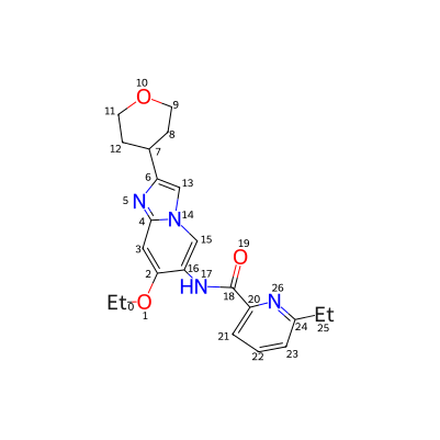 CCOc1cc2nc(C3CCOCC3)cn2cc1NC(=O)c1cccc(CC)n1